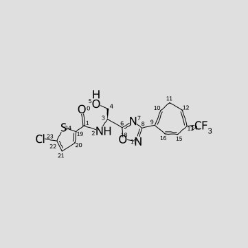 O=C(N[C@@H](CO)c1nc(C2=CCC=C(C(F)(F)F)C=C2)no1)c1ccc(Cl)s1